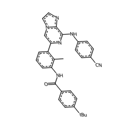 Cc1c(NC(=O)c2ccc(C(C)(C)C)cc2)cccc1-c1cn2ccnc2c(Nc2ccc(C#N)cc2)n1